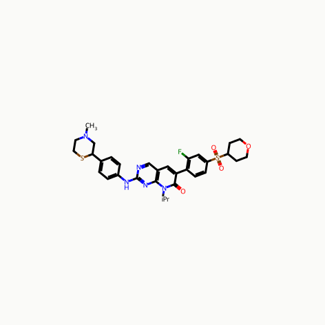 CC(C)n1c(=O)c(-c2ccc(S(=O)(=O)C3CCOCC3)cc2F)cc2cnc(Nc3ccc(C4CN(C)CCS4)cc3)nc21